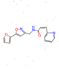 O=C(/C=C\c1ccccn1)NCc1cc(-c2ccco2)on1